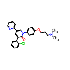 CN(C)CCCOc1ccc(-n2cc(-c3ccccn3)cc(-c3ccccc3Cl)c2=O)cc1